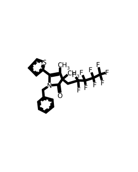 CC1=C(c2cccs2)N(Cc2ccccc2)C(=O)C1(C)CC(F)(F)C(F)(F)C(F)(F)C(F)(F)F